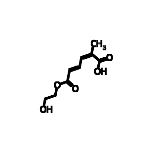 CC(=CC=CC(=O)OCCO)C(=O)O